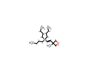 CCC[CH2][Sn](/[CH]=C/C1(C)COC1)([CH2]CCC)[CH2]CCC